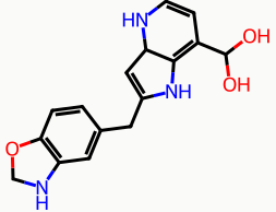 OC(O)C1=C2NC(Cc3ccc4c(c3)NCO4)=CC2NC=C1